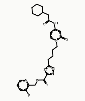 O=C(CC1CCCCC1)Nc1ccn(CCCCc2nnc(C(=O)NCc3ncccc3F)s2)c(=O)c1